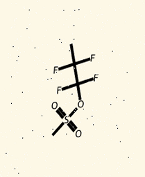 CC(F)(F)C(F)(F)OS(C)(=O)=O